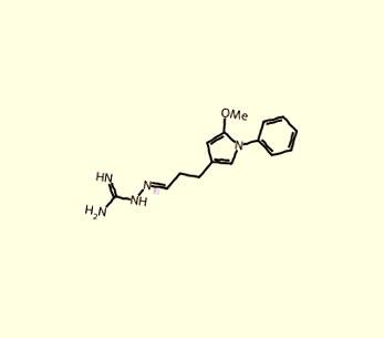 COc1cc(CC/C=N/NC(=N)N)cn1-c1ccccc1